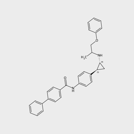 CC(COc1ccccc1)N[C@@H]1C[C@H]1c1ccc(NC(=O)c2ccc(-c3ccccc3)cc2)cc1